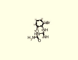 N=C(NC(N)=O)Nc1c(Cl)cccc1Br